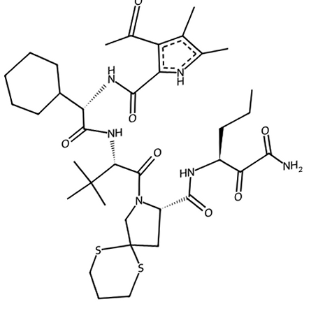 CCC[C@H](NC(=O)[C@@H]1CC2(CN1C(=O)[C@@H](NC(=O)[C@@H](NC(=O)c1[nH]c(C)c(C)c1C(C)=O)C1CCCCC1)C(C)(C)C)SCCCS2)C(=O)C(N)=O